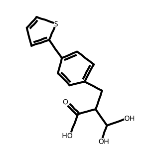 O=C(O)C(Cc1ccc(-c2cccs2)cc1)C(O)O